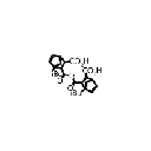 CCC(C)C12C=CC(C1)C(C(=O)O)C2C(=O)OC(=O)C1C(C(=O)O)C2C=CC1(C(C)CC)C2